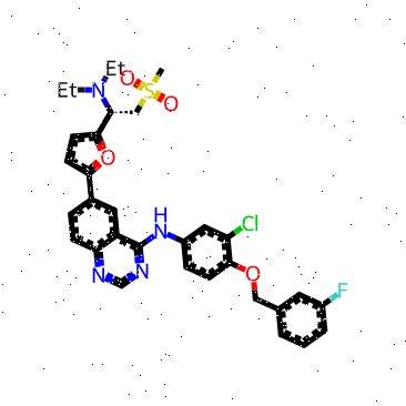 CCN(CC)[C@H](CS(C)(=O)=O)c1ccc(-c2ccc3ncnc(Nc4ccc(OCc5cccc(F)c5)c(Cl)c4)c3c2)o1